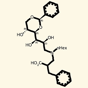 CCCCCCN(CC(Cc1ccccc1)C(=O)O)C[C@H](O)[C@@H](O)[C@@H]1O[C@H](c2ccccc2)OC[C@H]1O